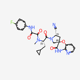 CN(C(=O)C(=O)Nc1ccc(F)cc1)[C@@H](CC1CC1)C(=O)N1C[C@@]2(C[C@H]1C#N)Oc1cccnc1NC2=O